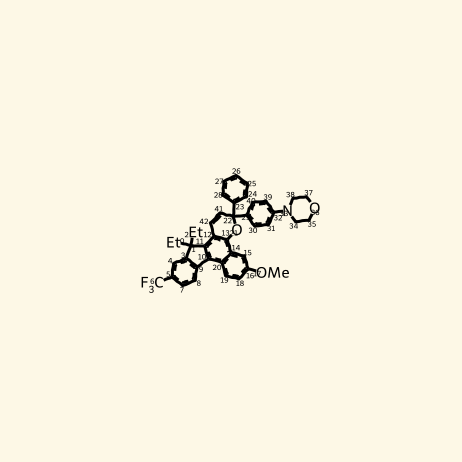 CCC1(CC)c2cc(C(F)(F)F)ccc2-c2c1c1c(c3cc(OC)ccc23)OC(c2ccccc2)(c2ccc(N3CCOCC3)cc2)C=C1